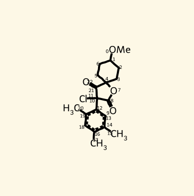 COC1CCC2(CC1)OC(=O)C(Cl)(c1cc(C)c(C)cc1C)C2=O